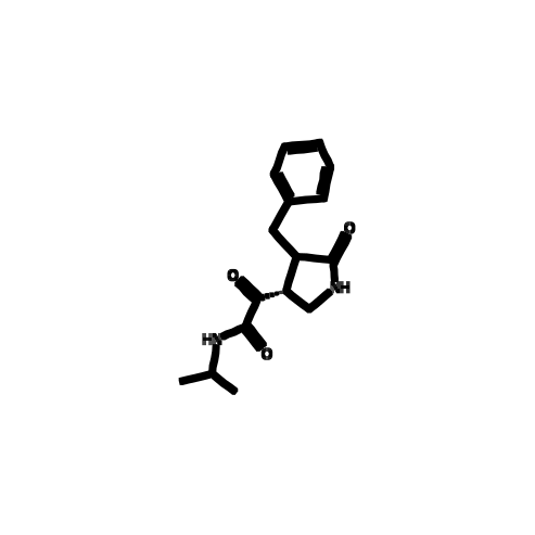 CC(C)NC(=O)C(=O)[C@H]1CNC(=O)C1Cc1ccccc1